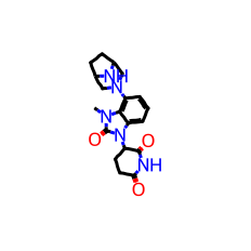 Cn1c(=O)n(C2CCC(=O)NC2=O)c2cccc(N3CC4CCC(C3)N4)c21